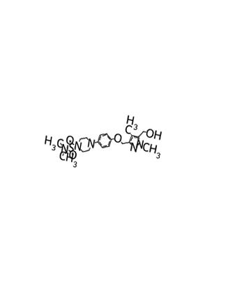 Cc1c(COc2ccc(N3CCN(S(=O)(=O)N(C)C)CC3)cc2)nn(C)c1CO